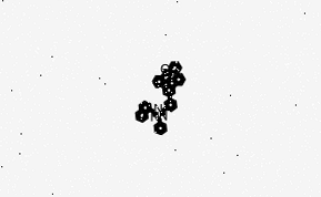 c1ccc(-c2nc(-c3cccc(-c4ccc5c(c4)-c4ccccc4C54c5ccccc5-c5oc6ccccc6c54)c3)nc(-c3cccc4ccccc34)n2)cc1